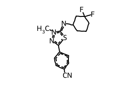 Cn1nc(-c2ccc(C#N)cc2)sc1=NC1CCCC(F)(F)C1